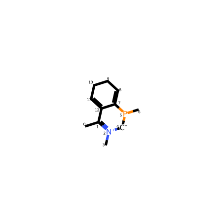 CC1=[N+](C)[CH-]P(C)C2=CCCC=C21